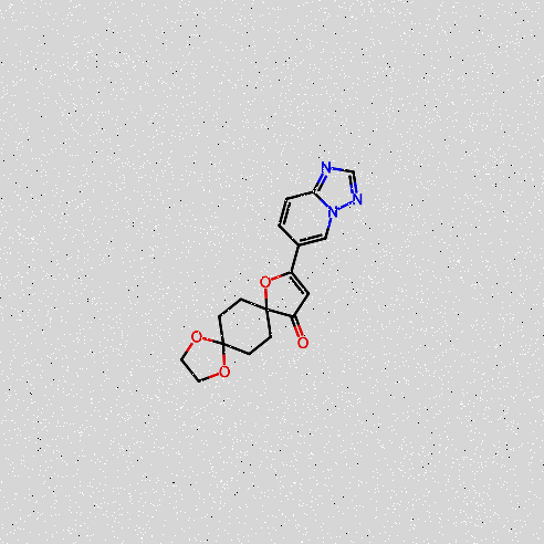 O=C1C=C(c2ccc3ncnn3c2)OC12CCC1(CC2)OCCO1